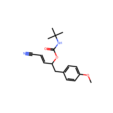 COc1ccc(CC(/C=C/C#N)OC(=O)NC(C)(C)C)cc1